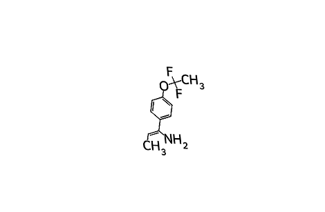 C/C=C(\N)c1ccc(OC(C)(F)F)cc1